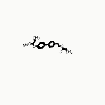 C=CC(=O)OCCc1ccc(-c2ccc(OC(C=C)OC)cc2)cc1